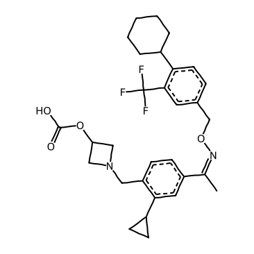 CC(=NOCc1ccc(C2CCCCC2)c(C(F)(F)F)c1)c1ccc(CN2CC(OC(=O)O)C2)c(C2CC2)c1